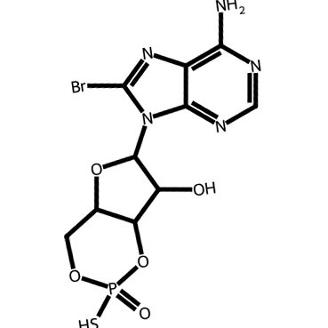 Nc1ncnc2c1nc(Br)n2C1OC2COP(=O)(S)OC2C1O